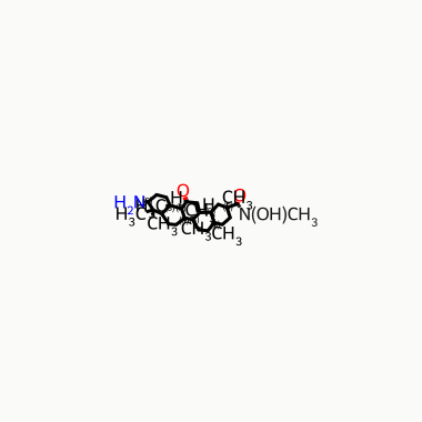 CN(O)C(=O)[C@@]1(C)CC[C@]2(C)CC[C@]3(C)C(=CC(=O)[C@@H]4[C@@]5(C)CC[C@H](N)C(C)(C)C5CC[C@]43C)[C@@H]2C1